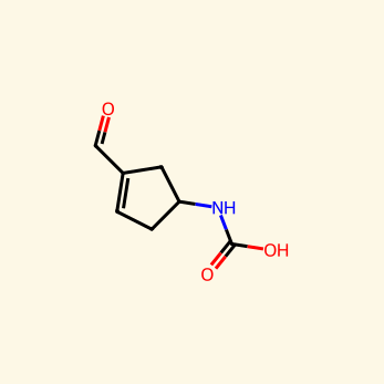 O=CC1=CCC(NC(=O)O)C1